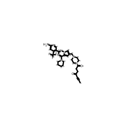 CC#CC(=O)CCC(=O)N1CCN(Cc2cc3c(N4CCCCC4)nc(-c4cnc(N)cc4C(F)(F)F)nn3c2)CC1